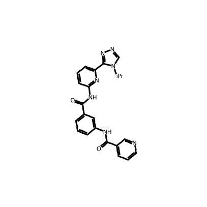 CC(C)n1cnnc1-c1cccc(NC(=O)c2cccc(NC(=O)c3cccnc3)c2)n1